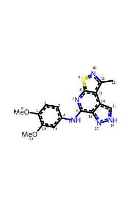 COc1ccc(Nc2nc3snc(C)c3c3c[nH]nc23)cc1OC